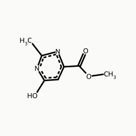 COC(=O)c1cc(O)nc(C)n1